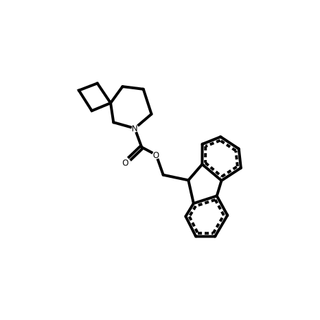 O=C(OCC1c2ccccc2-c2ccccc21)N1CCCC2(CCC2)C1